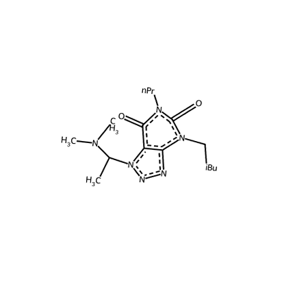 CCCn1c(=O)c2c(nnn2C(C)N(C)C)n(CC(C)CC)c1=O